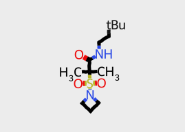 CC(C)(C)CCNC(=O)C(C)(C)S(=O)(=O)N1CCC1